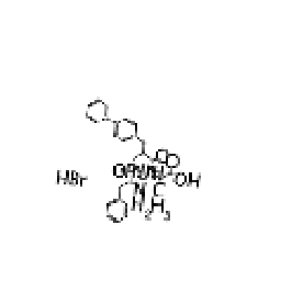 Br.C[C@H](NC(=O)C(Cc1ccc(-c2ccccc2)cc1)CP(=O)(O)C(N)Cc1ccccc1)C(=O)O